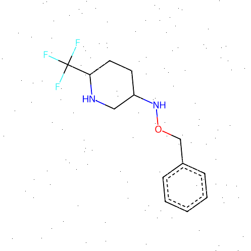 FC(F)(F)C1CCC(NOCc2ccccc2)CN1